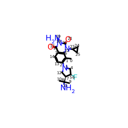 Cc1c(N2C[C@@H](F)[C@@H](C(C)(C)N)C2)ccc2c(=O)n(N)c(=O)n(C3CC3)c12